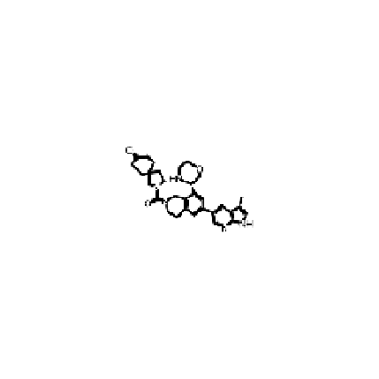 Cc1c[nH]c2ncc(-c3cc4c(c([C@@H]5COCCN5)c3)CN(C(=O)N3CCC5(CCC(=O)CC5)C3)CC4)cc12